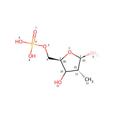 B[C@@H]1O[C@H](COP(=O)(O)O)C(O)[C@H]1C